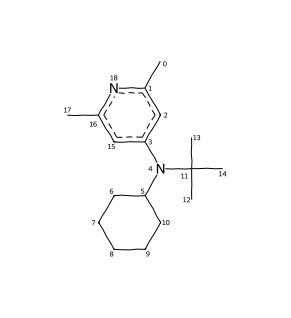 Cc1cc(N(C2CCCCC2)C(C)(C)C)cc(C)n1